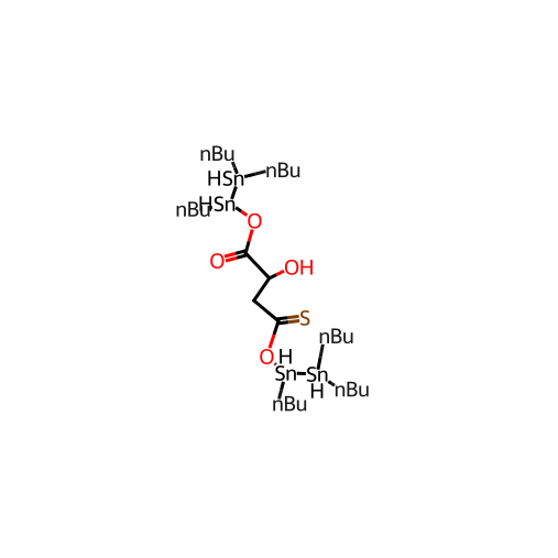 CCC[CH2][SnH]([CH2]CCC)[SnH]([CH2]CCC)[O]C(=O)C(O)CC(=S)[O][SnH]([CH2]CCC)[SnH]([CH2]CCC)[CH2]CCC